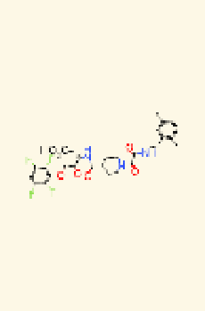 Cc1ccc(C)c(CCNC(=O)C(=O)N2CCC(C(=O)N[C@@H](CC(=O)O)C(=O)COc3c(F)c(F)cc(F)c3F)CC2)c1